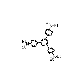 CCN(CC)c1ccc(-c2cc(-c3ccc(N(CC)CC)cc3)cc(-c3ccc(N(CC)CC)cc3)c2)cc1